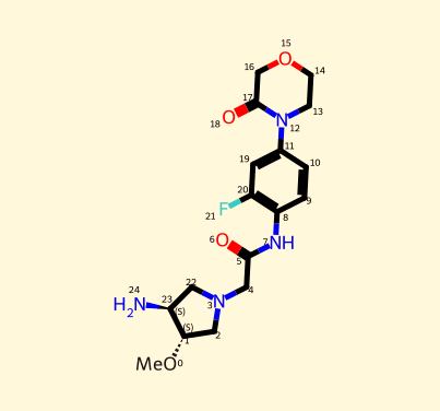 CO[C@H]1CN(CC(=O)Nc2ccc(N3CCOCC3=O)cc2F)C[C@@H]1N